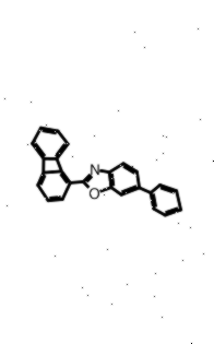 c1ccc(-c2ccc3nc(-c4cccc5c4-c4ccccc4-5)oc3c2)cc1